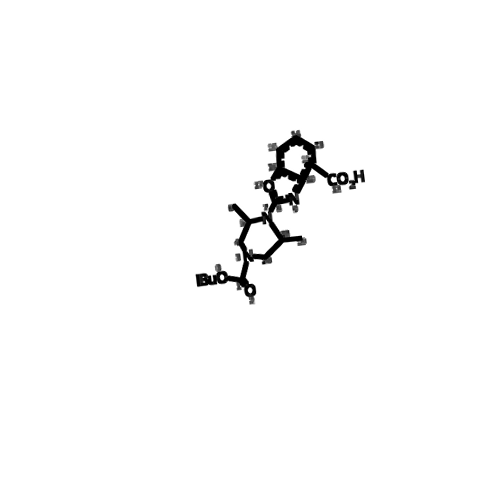 CC(C)COC(=O)N1CC(C)N(c2nc3c(C(=O)O)cccc3o2)C(C)C1